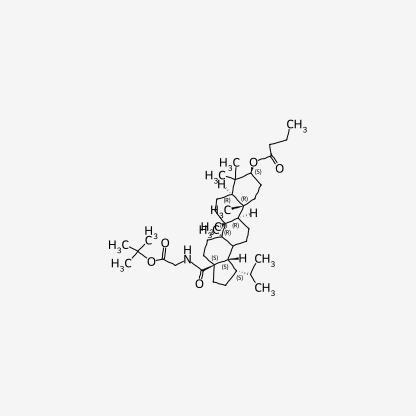 CCCC(=O)O[C@H]1CC[C@]2(C)[C@H]3CCC4[C@@H]5[C@H](C(C)C)CC[C@]5(C(=O)NCC(=O)OC(C)(C)C)CC[C@@]4(C)[C@]3(C)CC[C@H]2C1(C)C